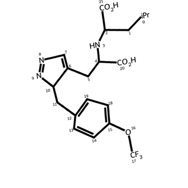 CC(C)CC(NC(CC1=CN=NC1Cc1ccc(OC(F)(F)F)cc1)C(=O)O)C(=O)O